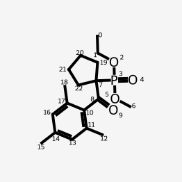 CCOP(=O)(OC)C1(C(=O)c2c(C)cc(C)cc2C)CCCC1